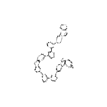 c1cc(-c2cccc(-c3ccc4sc5ccc(-c6cccc(-c7cccc(-c8ccc9oc%10ccncc%10c9c8)c7)c6)cc5c4c3)c2)cc(-c2ccc3oc4ccccc4c3c2)c1